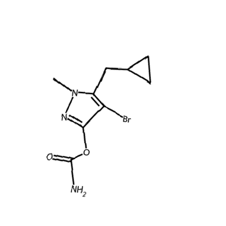 Cn1nc(OC(N)=O)c(Br)c1CC1CC1